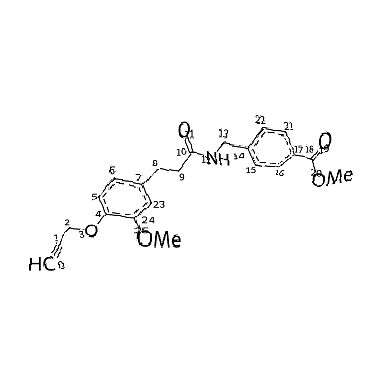 C#CCOc1ccc(CCC(=O)NCc2ccc(C(=O)OC)cc2)cc1OC